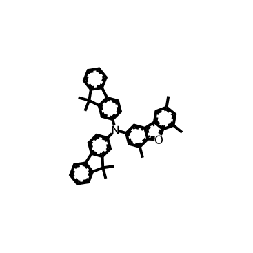 Cc1cc(C)c2oc3c(C)cc(N(c4ccc5c(c4)C(C)(C)c4ccccc4-5)c4ccc5c(c4)C(C)(C)c4ccccc4-5)cc3c2c1